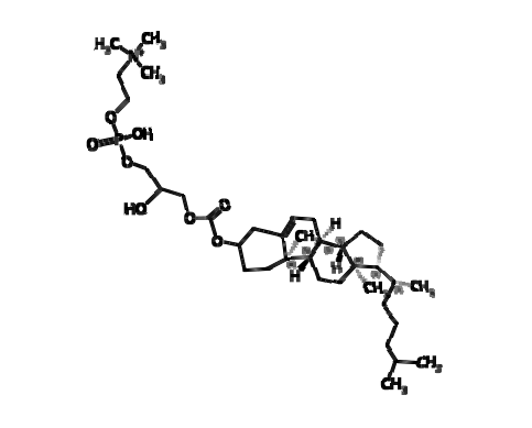 CC(C)CCC[C@@H](C)[C@H]1CC[C@H]2[C@@H]3CC=C4CC(OC(=O)OCC(O)COP(=O)(O)OCC[N+](C)(C)C)CC[C@]4(C)[C@H]3CC[C@]12C